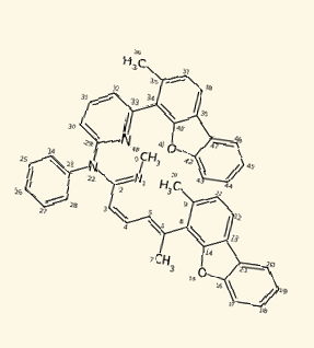 C/N=C(/C=C\C=C(/C)c1c(C)ccc2c1oc1ccccc12)N(c1ccccc1)c1cccc(-c2c(C)ccc3c2oc2ccccc23)n1